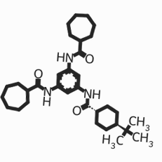 CC(C)(C)[C@H]1CC[C@H](C(=O)Nc2cc(NC(=O)C3CCCCCC3)cc(NC(=O)C3CCCCCC3)c2)CC1